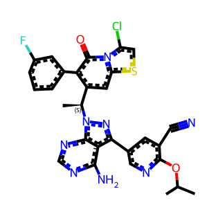 CC(C)Oc1ncc(-c2nn([C@@H](C)c3cc4scc(Cl)n4c(=O)c3-c3cccc(F)c3)c3ncnc(N)c23)cc1C#N